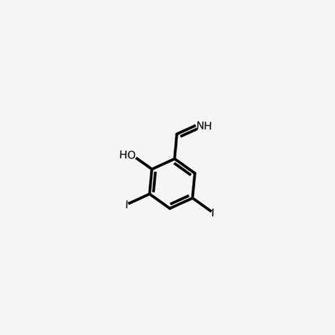 N=Cc1cc(I)cc(I)c1O